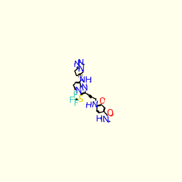 CNC(=O)c1ccc(NCC#Cc2nc3c(N[C@@H]4CCc5nncn5C4)cccn3c2SC(F)(F)F)c(OC)c1